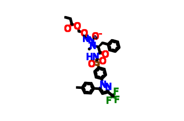 CCC(=O)OCO/N=[N+](\[O-])N(C)[C@@H](Cc1ccccc1)C(=O)NS(=O)(=O)c1ccc(-n2nc(C(F)(F)F)cc2-c2ccc(C)cc2)cc1